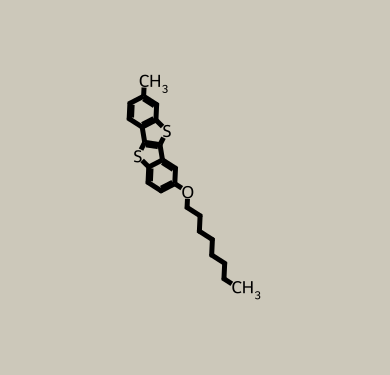 CCCCCCCCOc1ccc2sc3c4ccc(C)cc4sc3c2c1